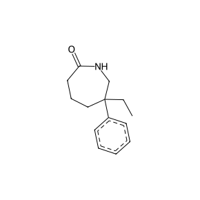 CCC1(c2ccccc2)CCCC(=O)NC1